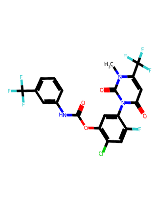 Cn1c(C(F)(F)F)cc(=O)n(-c2cc(OC(=O)Nc3cccc(C(F)(F)F)c3)c(Cl)cc2F)c1=O